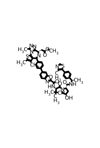 COC(=O)C[C@@H]1N=C(c2ccc(-c3ccc4nc(C(=O)N[C@H](C(=O)N5C[C@H](O)C[C@H]5C(=O)N[C@@H](C)c5ccc(-c6scnc6C)cc5)C(C)(C)C)oc4c3)cc2)c2c(sc(C)c2C)-n2c(C)nnc21